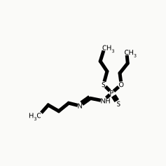 CCCCN=CNP(=S)(OCCC)SCCC